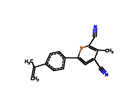 C=C(C)c1ccc(C2=C=C(C#N)C(C)=C(C#N)S2)cc1